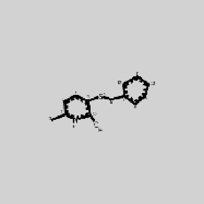 Cc1ccc(SCc2ccccc2)c(Cl)n1